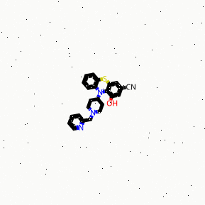 N#Cc1cc(O)c2c(c1)Sc1ccccc1N2C1CCN(Cc2ccccn2)CC1